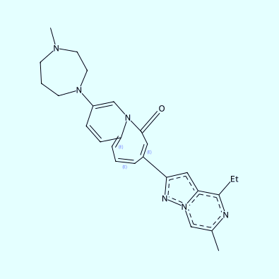 CCc1nc(C)cn2nc(C3=C\C(=O)N4C=C(N5CCCN(C)CC5)C=C\C4=C/C=C/3)cc12